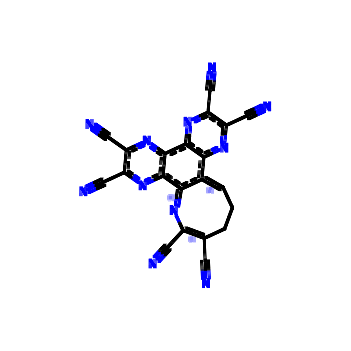 N#C/C1=C(C#N)/N=c2\c(c3nc(C#N)c(C#N)nc3c3nc(C#N)c(C#N)nc23)=C/CC1